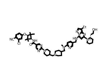 CCc1cnn2c(NCc3ccc(N(C)CC4CCN(CC5CCN(c6ncc(C(=O)N[C@H]7C(C)(C)[C@H](Oc8ccc(C#N)c(Cl)c8)C7(C)C)cn6)CC5)CC4)nc3)cc(N3CCCC[C@H]3CCO)nc12